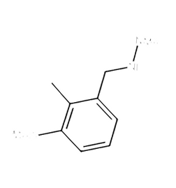 CNNCc1cccc(OC)c1C